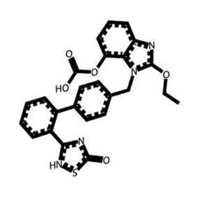 CCOc1nc2cccc(OC(=O)O)c2n1Cc1ccc(-c2ccccc2-c2nc(=O)s[nH]2)cc1